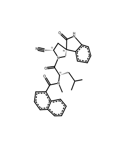 CC(C)C[C@@H](C(=O)N1C[C@]2(C[C@H]1C#N)C(=O)Nc1ccccc12)N(C)C(=O)c1cccc2ccccc12